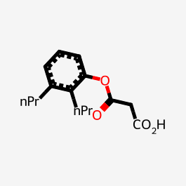 CCCc1cccc(OC(=O)CC(=O)O)c1CCC